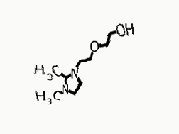 CC1N(C)CCN1CCOCCO